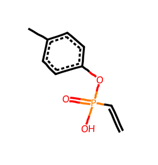 C=CP(=O)(O)Oc1ccc(C)cc1